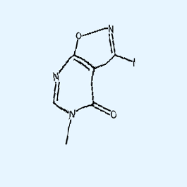 Cn1cnc2onc(I)c2c1=O